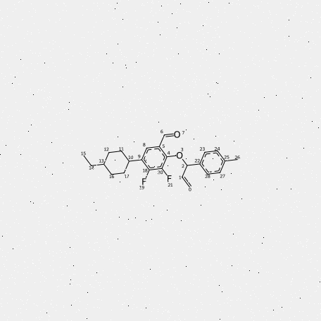 C=CC(Oc1c(C=O)cc(C2CCC(CC)CC2)c(F)c1F)c1ccc(C)cc1